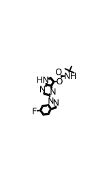 CC(C)(C)NC(=O)Oc1c[nH]c2ncc(-n3ncc4ccc(F)cc43)nc12